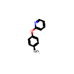 O=[N+]([O-])c1ccc(Oc2cc[c]cn2)cc1